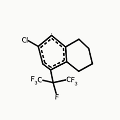 FC(F)(F)C(F)(c1cc(Cl)[c]c2c1CCCC2)C(F)(F)F